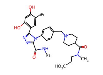 CCNC(=O)c1nnc(-c2cc(C(C)C)c(O)cc2O)n1-c1ccc(CN2CCC(C(=O)N(C)CCC(=O)O)CC2)cc1